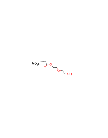 O=C(O)/C=C\C(=O)OCCOCCO